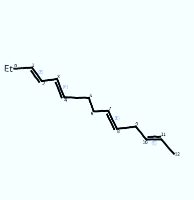 [CH2]C/C=C/C=C/CC/C=C/C/C=C/C